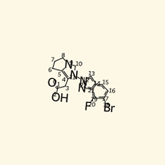 O=C(O)CC1=C2CCCN2CN1n1cc2ccc(Br)c(F)c2n1